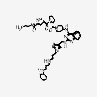 N[C@H](CCC(=O)N1CCC[C@@H]1C(=O)N1CCC(Nc2nc(NCc3cn(CCCNCCCNC4CCCCC4)nn3)nc3ccccc23)CC1)C(=O)NCCP